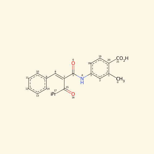 Cc1cc(NC(=O)/C(=C/c2ccccc2)C(=O)C(C)C)ccc1C(=O)O